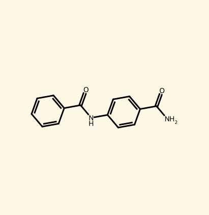 NC(=O)c1ccc(NC(=O)c2ccccc2)cc1